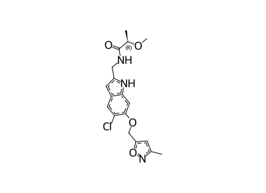 CO[C@H](C)C(=O)NCc1cc2cc(Cl)c(OCc3cc(C)no3)cc2[nH]1